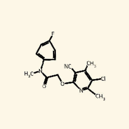 Cc1nc(OCC(=O)N(C)c2ccc(F)cc2)c(C#N)c(C)c1Cl